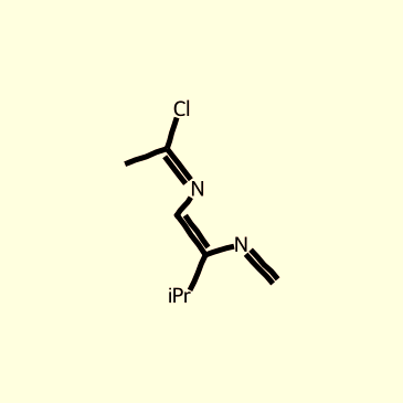 C=N/C(=C\N=C(/C)Cl)C(C)C